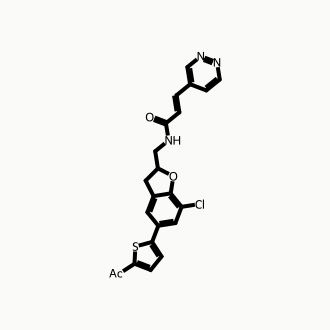 CC(=O)c1ccc(-c2cc(Cl)c3c(c2)CC(CNC(=O)C=Cc2ccnnc2)O3)s1